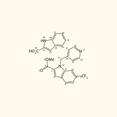 COC(=O)c1cc2ccc(C(F)(F)F)cc2n1Cc1ccncc1.O=C(O)c1cc2ccccc2[nH]1